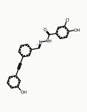 O=C(N/N=C/c1cccc(C#Cc2cccc(O)c2)c1)c1ccc(O)c(Cl)c1